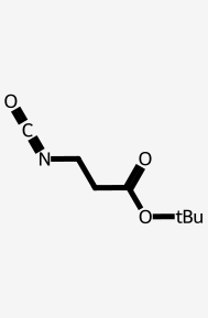 CC(C)(C)OC(=O)CCN=C=O